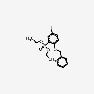 CCOP(=O)(OCC)c1cc(I)ccc1OCc1ccccc1